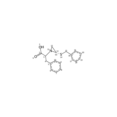 O=C(O)C(Cc1ccccc1)N1C[C@@H]1SCc1ccccc1